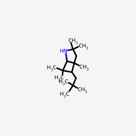 CC(C)(C)CC1C(C)(C)C2NC(C)(C)CC12C